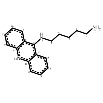 NCCCCCNc1c2ccccc2nc2ccccc12